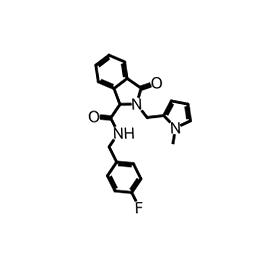 Cn1cccc1CN1C(=O)c2ccccc2C1C(=O)NCc1ccc(F)cc1